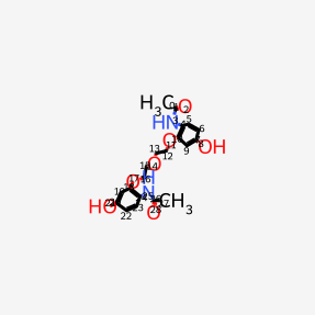 CC(=O)Nc1ccc(O)cc1OCCOCCOc1cc(O)ccc1NC(C)=O